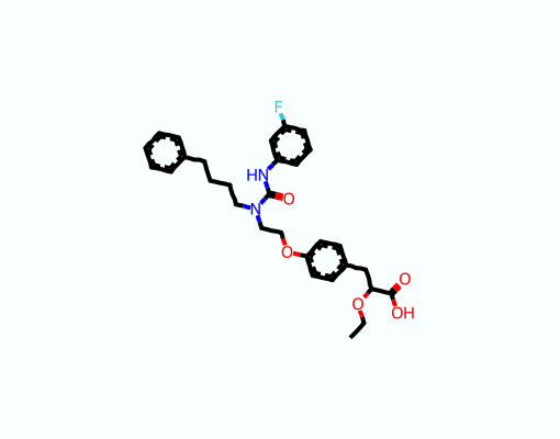 CCOC(Cc1ccc(OCCN(CCCCc2ccccc2)C(=O)Nc2cccc(F)c2)cc1)C(=O)O